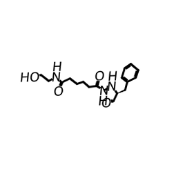 O=C[C@H](Cc1ccccc1)NNC(=O)CCCCC(=O)NCCO